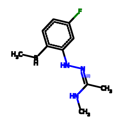 CBc1ccc(F)cc1N/N=C(/C)NC